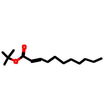 CCCCCCCCC=CC(=O)OC(C)(C)C